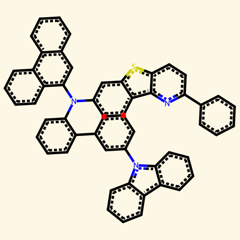 c1ccc(-c2ccc3sc4cc(N(c5ccccc5-c5cccc(-n6c7ccccc7c7ccccc76)c5)c5cc6ccccc6c6ccccc56)ccc4c3n2)cc1